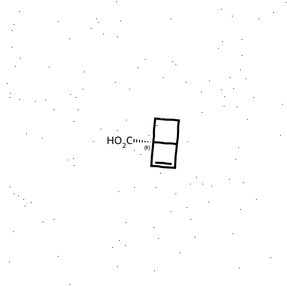 O=C(O)[C@@]12C=CC1CC2